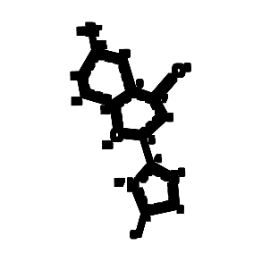 Cc1csc(-c2cc(=O)c3cc(Br)ccc3o2)n1